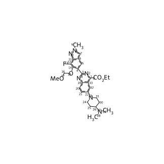 CCOC(=O)c1nc(-c2cc3cn(C)nc3c(F)c2OCOC)nc2ccc(N3CCC(N(C)C)CC3)cc12